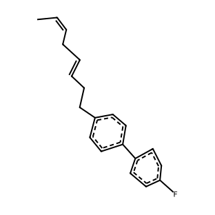 C/C=C\C/C=C/CCc1ccc(-c2ccc(F)cc2)cc1